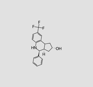 O[C@H]1CC2c3cc(C(F)(F)F)ccc3N[C@H](c3ccccc3)[C@@H]2C1